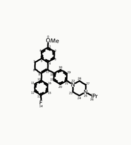 COc1ccc2c(c1)CCC(c1ccc(F)cc1)=C2c1ccc(N2CCN(C(C)C)CC2)cc1